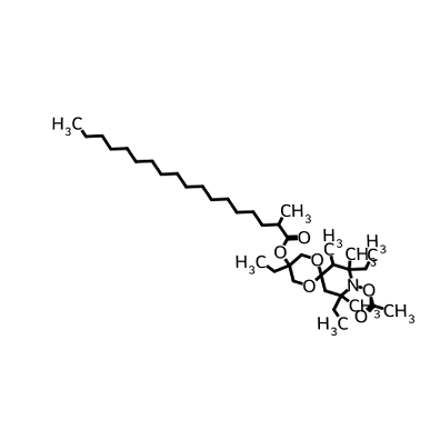 CCCCCCCCCCCCCCCCC(C)C(=O)OC1(CC)COC2(CC(C)(CC)N(OC(C)=O)C(C)(CC)C2C)OC1